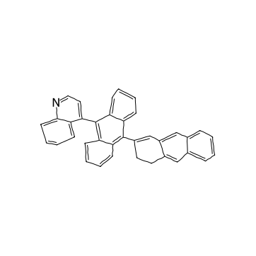 C1=C(c2c3ccccc3c(-c3ccnc4ccccc34)c3ccccc23)CCc2cc3ccccc3cc21